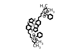 CC(C)CN(CCCc1ccc(F)[c]([Ti]([C]2=CC=CC2)([C]2=CC=CC2)[c]2c(F)ccc(CCCN(CC(C)C)S(=O)(=O)c3ccccc3)c2F)c1F)S(=O)(=O)c1ccccc1